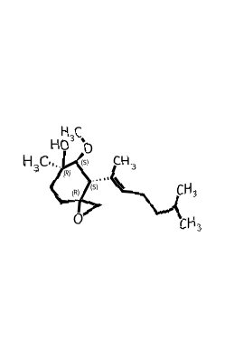 CO[C@H]1[C@H](C(C)=CCCC(C)C)[C@]2(CC[C@@]1(C)O)CO2